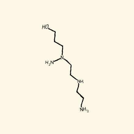 NCCNCCN(N)CCCO